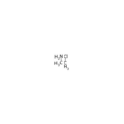 CCl.CN